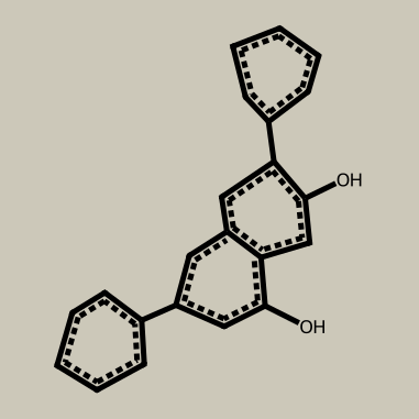 Oc1cc2c(O)cc(-c3ccccc3)cc2cc1-c1ccccc1